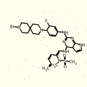 C=C/C=C\C(=C\NC1N=C(NC2=CC(F)C(N3CCC4(CCN(CC)CC4)CC3)C=C2)N=C2NC=CC21)N(C)S(C)(=O)=O